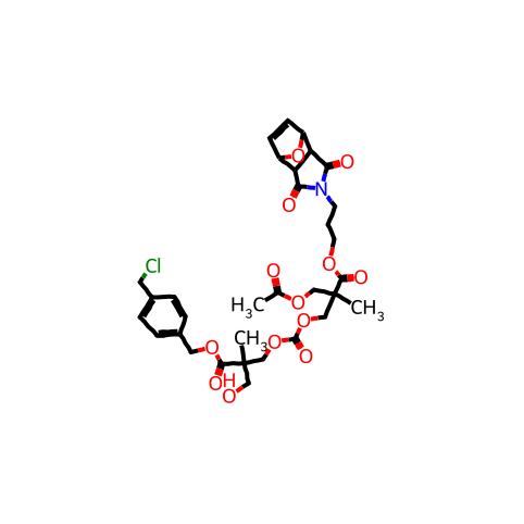 CC(=O)OCC(C)(COC(=O)OCC(C)(CO)C(=O)OCc1ccc(CCl)cc1)C(=O)OCCCN1C(=O)C2C3C=CC(O3)C2C1=O